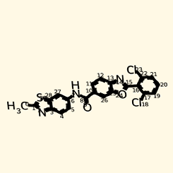 Cc1nc2ccc(NC(=O)c3ccc4nc(-c5c(Cl)cccc5Cl)oc4c3)cc2s1